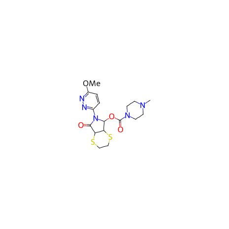 COc1ccc(N2C(=O)C3SCCSC3C2OC(=O)N2CCN(C)CC2)nn1